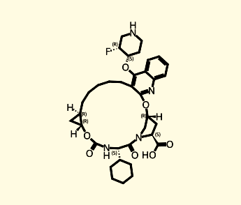 O=C1N[C@@H](C2CCCCC2)C(=O)N2C[C@@H](C[C@H]2C(=O)O)Oc2nc3ccccc3c(O[C@H]3CCNC[C@H]3F)c2CCCCC[C@@H]2C[C@H]2O1